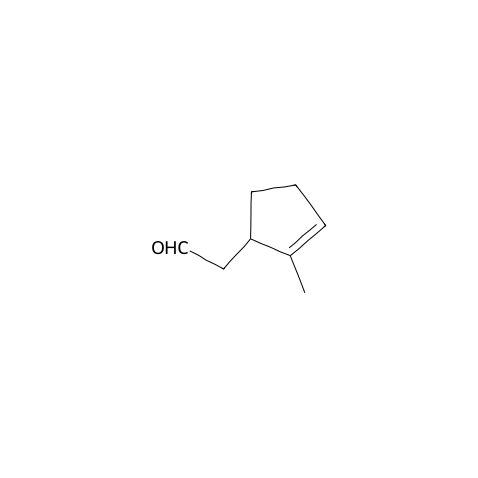 CC1=CCCC1CC=O